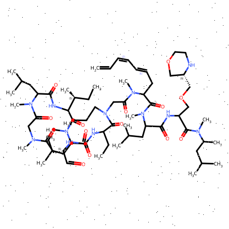 C=C/C=C\C=C\CC(C(=O)N(C)C(CC(C)C)C(=O)NC(COC[C@@H]1COCCN1)C(=O)N(C)C(C)CC(C)C)N(C)C(=O)CN(CCCC)C(=O)C(CC)NC(=O)C(CC(C)C)N(C)C(=O)C(NC(=O)C(CC(C)C)N(C)C(=O)CN(C)C(=O)C[C@@H](C=O)NC=O)[C@@H](C)CC